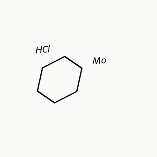 C1CCCCC1.Cl.[Mo]